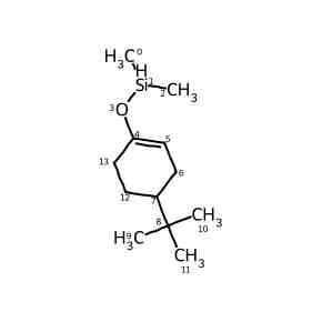 C[SiH](C)OC1=CCC(C(C)(C)C)CC1